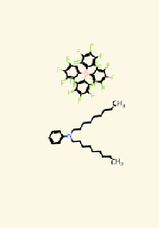 CCCCCCCCCN(CCCCCCCCC)c1ccccc1.Fc1c(F)c(F)c([B-](c2c(F)c(F)c(F)c(F)c2F)(c2c(F)c(F)c(F)c(F)c2F)c2c(F)c(F)c(F)c(F)c2F)c(F)c1F